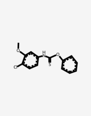 COc1cc(NC(=S)Oc2ccccc2)ccc1Cl